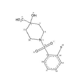 O=C(O)C1(O)CCN(S(=O)(=O)c2ccccc2F)CC1